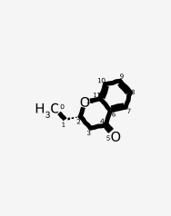 CC[C@H]1CC(=O)c2ccccc2O1